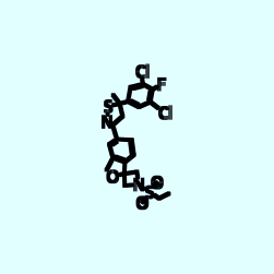 CCS(=O)(=O)N1CC2(C1)OCc1cc(C3=NSC(C)(c4cc(Cl)c(F)c(Cl)c4)C3)ccc12